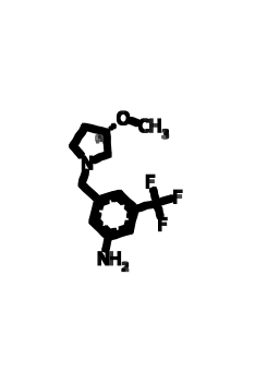 CO[C@H]1CCN(Cc2cc(N)cc(C(F)(F)F)c2)C1